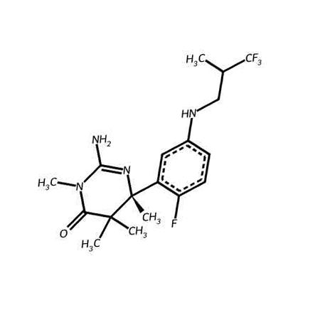 CC(CNc1ccc(F)c([C@@]2(C)N=C(N)N(C)C(=O)C2(C)C)c1)C(F)(F)F